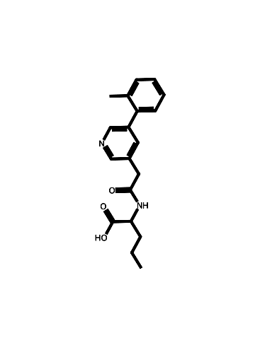 CCCC(NC(=O)Cc1cncc(-c2ccccc2C)c1)C(=O)O